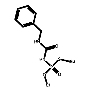 CCOP(=O)(NC(=O)NCc1ccccc1)SC(C)CC